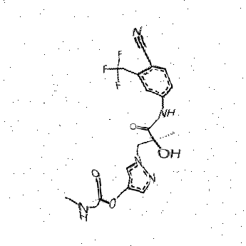 CNC(=O)Oc1cnn(C[C@](C)(O)C(=O)Nc2ccc(C#N)c(C(F)(F)F)c2)c1